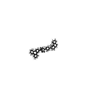 c1cnc2c(c1)ccc1ccc(-c3ccc(-c4cnc(-c5ccc6c7ccccc7c7ccccc7c6c5)cn4)cc3)nc12